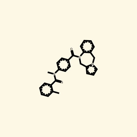 Cc1ccccc1C(=S)N(C)c1ccc(C(=O)N2Cc3cccn3Cc3ccccc32)cc1